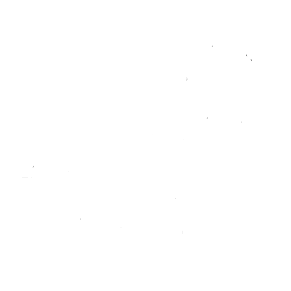 O=c1cc(-c2ccncc2)oc2cc(O)ccc12